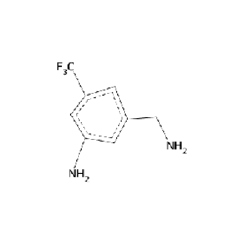 NCc1cc(N)cc(C(F)(F)F)c1